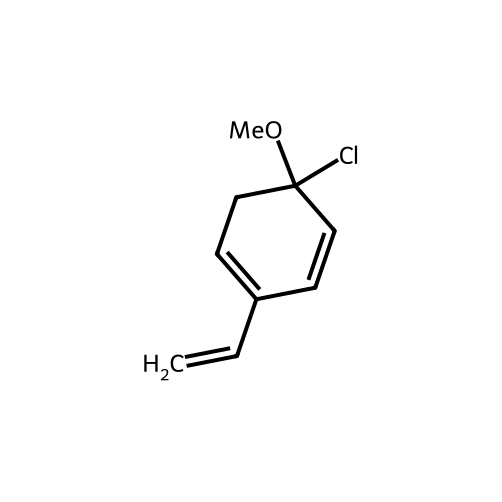 C=CC1=CCC(Cl)(OC)C=C1